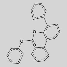 O=C(Oc1ccccc1)Oc1c(-c2ccccc2)cccc1-c1ccccc1